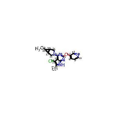 CCc1[nH]c2nc(Oc3cccnc3)nc(N3CC4C(C)C4C3)c2c1Cl